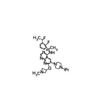 CC(F)c1cccc([C@@H](C)Nc2ncnc3nc(OC4CN(C)C4)c(N4CCN(C(C)C)CC4)cc23)c1F